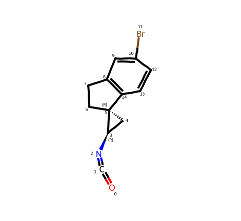 O=C=N[C@@H]1C[C@@]12CCc1cc(Br)ccc12